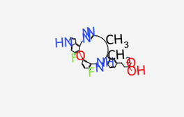 CC1CCc2cn(nn2)Cc2c(c(F)cc3[nH]ccc23)Oc2ccc(F)c(c2)-c2ncc([nH]2)C(C)(c2cccc(CCC(=O)O)c2)CC1